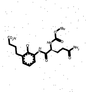 CC(C)(C)OC(=O)N[C@@H](CCC(N)=O)C(=O)Nc1cccc(CCCC(=O)O)c1Cl